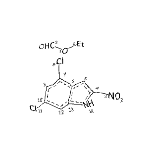 CCOC=O.O=[N+]([O-])c1cc2c(Cl)cc(Cl)cc2[nH]1